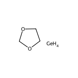 C1COCO1.[GeH4]